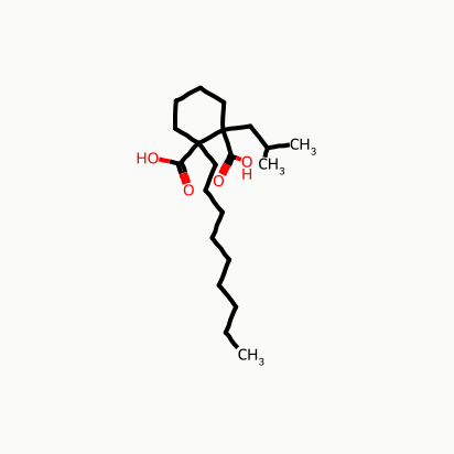 CCCCCCCCCC1(C(=O)O)CCCCC1(CC(C)C)C(=O)O